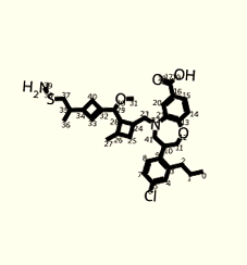 CCCc1cc(Cl)ccc1C1COc2ccc(C(=O)O)cc2N(CC2CC(C)C2C(OC)C2=CC(C(C)CSN)C2)C1